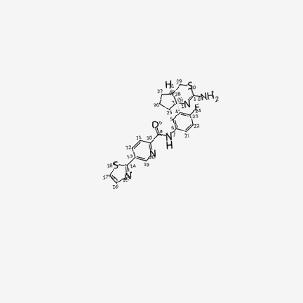 NC1=N[C@@]2(c3cc(NC(=O)c4ccc(-c5nccs5)cn4)ccc3F)CCC[C@H]2CS1